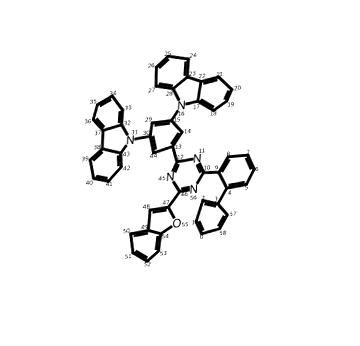 c1ccc(-c2ccccc2-c2nc(-c3cc(-n4c5ccccc5c5ccccc54)cc(-n4c5ccccc5c5ccccc54)c3)nc(-c3cc4ccccc4o3)n2)cc1